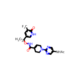 CC(=O)Nc1cnc(N2CC=C(C(=O)NO[C@H](C)c3c[nH]c(=O)c(C(F)(F)F)c3)CC2)nc1